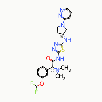 CN(C)[C@H](C(=O)Nc1nnc(N[C@@H]2CCN(c3cccnn3)C2)s1)c1cccc(OC(F)F)c1